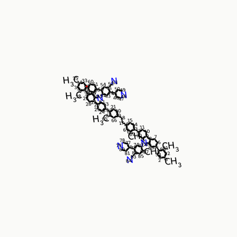 Cc1ccc(-c2ccc3c4ccc(-c5ccc(CCc6ccc(-c7ccc8c9ccc(-c%10ccc(C)cc%10C)cc9n(-c9cc(-c%10ccncc%10)c(C#N)cc9-c9ccccc9)c8c7)c(C)c6)cc5C)cc4n(-c4cc(-c5ccncc5)c(C#N)cc4C)c3c2)c(C)c1